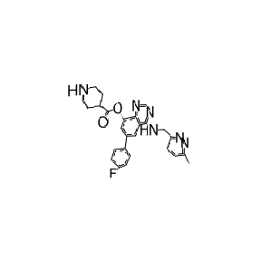 Cc1ccc(CNc2ncnc3c(OC(=O)C4CCNCC4)cc(-c4ccc(F)cc4)cc23)nn1